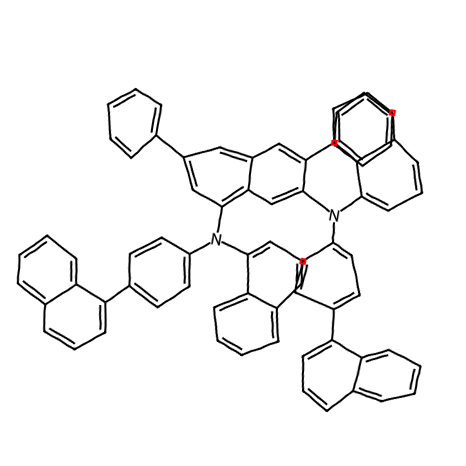 C1=CC2C=CC=C(N(c3ccc(-c4cccc5ccccc45)cc3)c3cc4c(N(c5ccc(-c6cccc7ccccc67)cc5)c5cccc6ccccc56)cc(-c5ccccc5)cc4cc3-c3ccccc3)C2C=C1